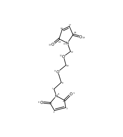 O=C1C=CC(=O)N1CCOCOCN1C(=O)C=CC1=O